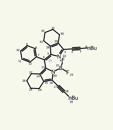 CCCCC#CC1=N/C(=C(/c2ccccc2)c2c3c(c(C#CCCCC)n2B(F)F)CCCC3)C2=C1CCCC2